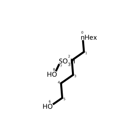 CCCCCCCCCCCO.O=S(=O)(O)O